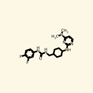 CN(C)c1ccnc(NC2CCC(CNC(=O)Nc3ccc(F)c(F)c3)CC2)n1